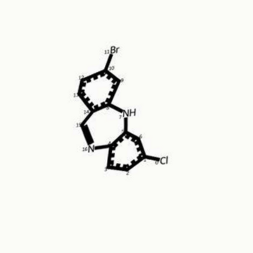 Clc1ccc2c(c1)Nc1cc(Br)ccc1C=N2